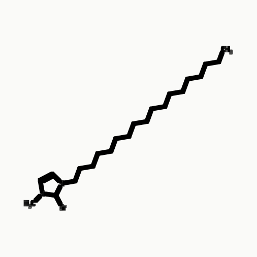 CCCCCCCCCCCCCCCCCCN1C=CN(C)C1Br